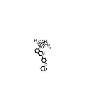 CC1(C)OB(c2cccc3cc(-c4ccc(OC5CCCCO5)cc4)ncc23)OC1(C)C